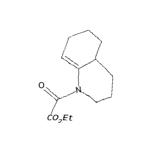 CCOC(=O)C(=O)N1CCCC2CCCC=C21